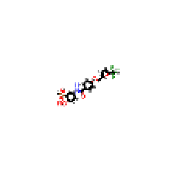 CS(=O)(=O)c1cc(NC(=O)c2ccc(OCc3ccc(C(F)(F)F)o3)cc2)ccc1O